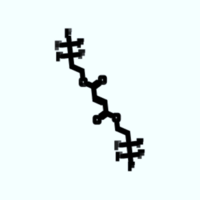 O=C(C=CC(=O)OCCC(F)(F)C(F)(F)F)OCCC(F)(F)C(F)(F)F